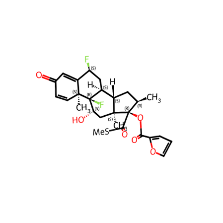 CSC(=O)[C@@]1(OC(=O)c2ccco2)[C@H](C)C[C@H]2[C@@H]3C[C@H](F)C4=CC(=O)C=C[C@]4(C)[C@@]3(F)[C@@H](O)C[C@@]21C